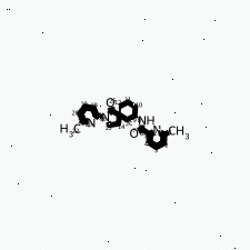 Cc1cccc(C(=O)N[C@H]2CCC[C@]3(CCN(c4cccc(C)n4)C3=O)C2)n1